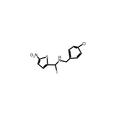 O=[N+]([O-])c1ccc(C(I)NCc2ccc(Cl)cc2)s1